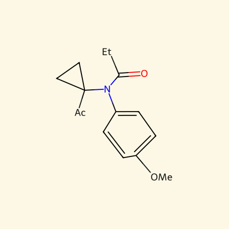 CCC(=O)N(c1ccc(OC)cc1)C1(C(C)=O)CC1